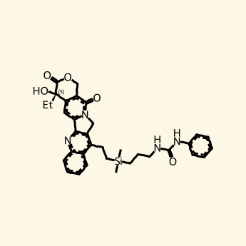 CC[C@@]1(O)C(=O)OCc2c1cc1n(c2=O)Cc2c-1nc1ccccc1c2CC[Si](C)(C)CCCNC(=O)Nc1ccccc1